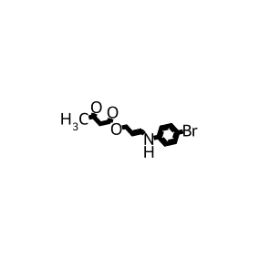 CC(=O)CC(=O)OCC=CNc1ccc(Br)cc1